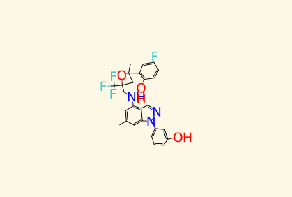 Cc1cc(NCC2(C(F)(F)F)CC(C)(c3cc(F)ccc3O)O2)c2cnn(-c3cccc(O)c3)c2c1